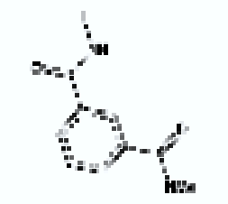 CNC(=O)c1cccc(C(=O)NI)c1